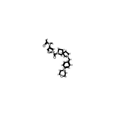 CC(=O)N(C)c1cnn(C(=O)N2CCC3(CCN(Cc4ccc(N5CCOCC5)cc4)C3)C2)c1